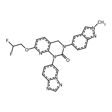 Cn1cc2cc(N3Cc4ccc(OCC(F)F)nc4N(c4ccc5ncnn5c4)C3=O)ccc2n1